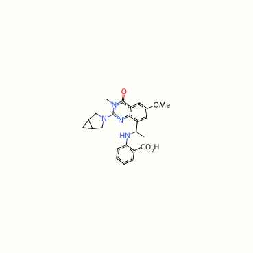 COc1cc(C(C)Nc2ccccc2C(=O)O)c2nc(N3CC4CC4C3)n(C)c(=O)c2c1